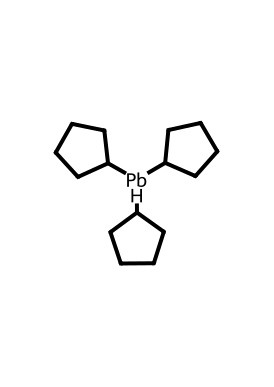 C1CC[CH]([PbH]([CH]2CCCC2)[CH]2CCCC2)C1